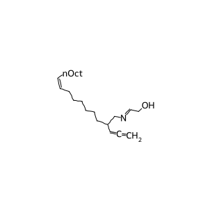 C=C=CC(CCCCCC/C=C\CCCCCCCC)CN=CCO